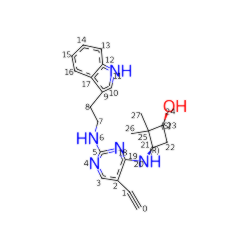 C#Cc1cnc(NCCc2c[nH]c3ccccc23)nc1N[C@@H]1C[C@H](O)C1(C)C